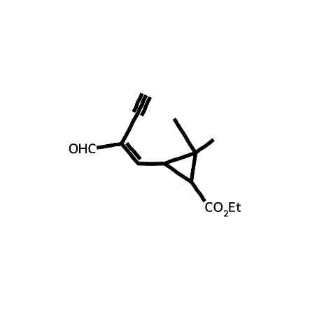 C#CC(C=O)=CC1C(C(=O)OCC)C1(C)C